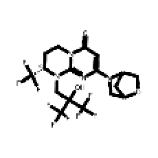 O=c1cc(N2CC3CC2CO3)nc2n1CC[C@@H](C(F)(F)F)N2CC(O)(C(F)(F)F)C(F)(F)F